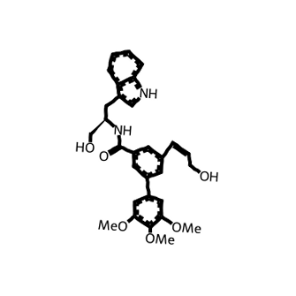 COc1cc(-c2cc(/C=C\CO)cc(C(=O)N[C@@H](CO)Cc3c[nH]c4ccccc34)c2)cc(OC)c1OC